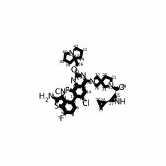 N#Cc1c(N)sc2c(F)ccc(-c3c(Cl)cc4c(N5CC6(CCN(C(=O)[C@@H]7N[C@H]7C7CC7)C6)C5)nc(OCC56CCCN5CCC6)nc4c3F)c12